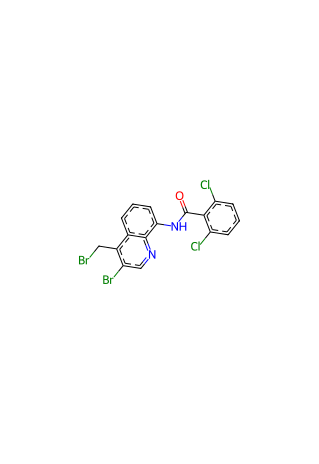 O=C(Nc1cccc2c(CBr)c(Br)cnc12)c1c(Cl)cccc1Cl